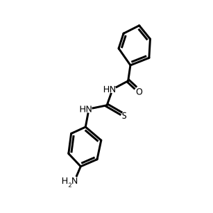 Nc1ccc(NC(=S)NC(=O)c2ccccc2)cc1